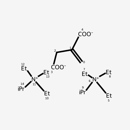 C=C(CC(=O)[O-])C(=O)[O-].CC[N+](CC)(CC)C(C)C.CC[N+](CC)(CC)C(C)C